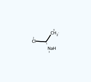 [CH2]CCl.[NaH]